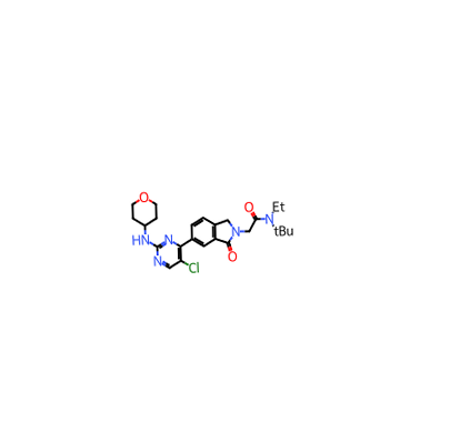 CCN(C(=O)CN1Cc2ccc(-c3nc(NC4CCOCC4)ncc3Cl)cc2C1=O)C(C)(C)C